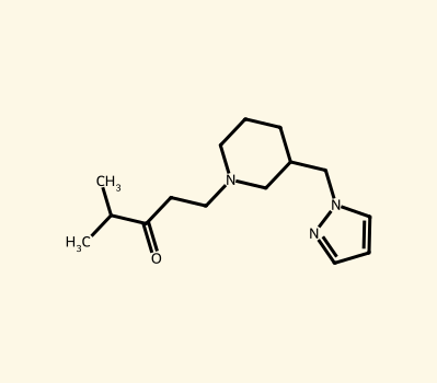 CC(C)C(=O)CCN1CCCC(Cn2cccn2)C1